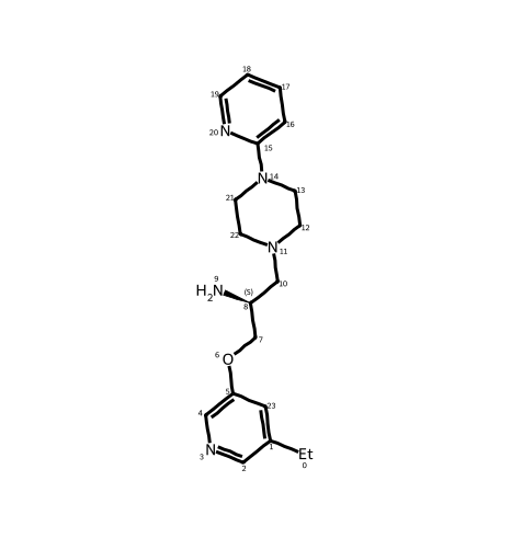 CCc1cncc(OC[C@@H](N)CN2CCN(c3ccccn3)CC2)c1